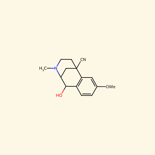 COc1ccc2c(c1)C1(C#N)CCN(C)C(C1)C2O